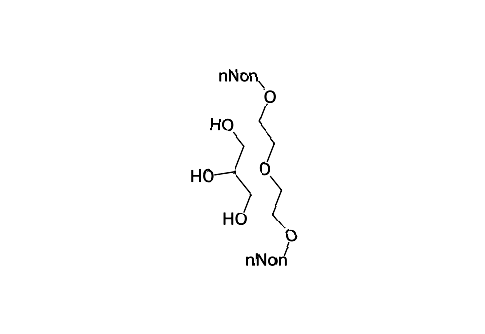 CCCCCCCCCOCCOCCOCCCCCCCCC.OCC(O)CO